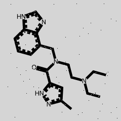 CCN(CC)CCN(Cc1cccc2[nH]cnc12)C(=O)c1cc(C)n[nH]1